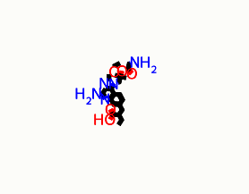 CCOCc1nc2c(N)nc3cc(CC(CC)C(=O)O)ccc3c2n1CC(C)(C)OC(=O)CN